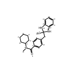 CC(C)C1(Cc2ccc(C(=O)N(C)C3CCCCC3)cc2)Nc2ccccc2N1